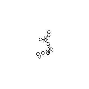 c1ccc(-c2nc(-c3ccc(-c4ccc5ccc6ccc(-c7ccc8c(c7)-c7cccc9cccc-8c79)nc6c5n4)cc3)cc(-c3ccc4ccccc4c3)n2)cc1